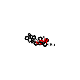 CC(C)(C)c1ccc2c(c1)C1(c3ccccc3Sc3ccc(N(c4ccc5c(c4)C4(c6ccccc6Sc6ccccc64)c4ccccc4-5)c4ccccc4-c4ccc(-c5ccccc5)cc4)cc31)c1cc(C(C)(C)C)ccc1-2